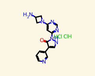 Cl.Cl.NC1CN(c2cc(-n3[nH]cc(-c4cccnc4)c3=O)ncn2)C1